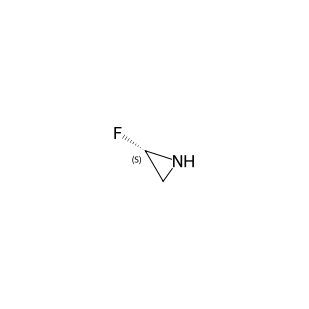 F[C@H]1CN1